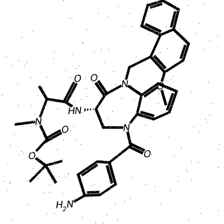 COc1ccc2ccccc2c1CN1C(=O)[C@@H](NC(=O)C(C)N(C)C(=O)OC(C)(C)C)CN(C(=O)c2ccc(N)cc2)c2ccccc21